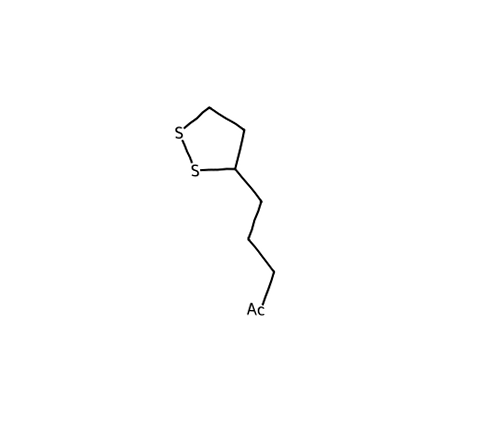 CC(=O)CCCC1CCSS1